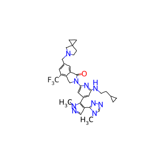 Cn1cnnc1-c1cnn(C)c1-c1cc(NCCC2CC2)nc(N2Cc3c(cc(CN4CCC5(CC5)C4)cc3C(F)(F)F)C2=O)c1